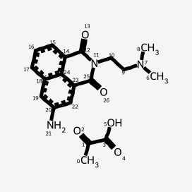 CC(=O)C(=O)O.CN(C)CCN1C(=O)c2cccc3cc(N)cc(c23)C1=O